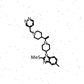 C=C(C1CCN(Cc2ccnnc2)CC1)N1CCC(n2c(SC)nc3cc(C)ccc32)CC1